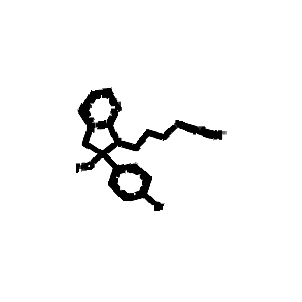 [N-]=[N+]=NCCCN1c2nccc[n+]2CC1(O)c1ccc(Br)cc1